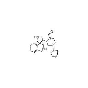 O=CN1CC[C@H](c2ccccc2)CC1C1CNC[C@]12CNCc1ccccc12